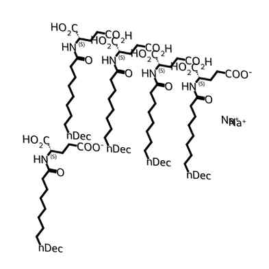 CCCCCCCCCCCCCCCCCC(=O)N[C@@H](CCC(=O)O)C(=O)O.CCCCCCCCCCCCCCCCCC(=O)N[C@@H](CCC(=O)O)C(=O)O.CCCCCCCCCCCCCCCCCC(=O)N[C@@H](CCC(=O)O)C(=O)O.CCCCCCCCCCCCCCCCCC(=O)N[C@@H](CCC(=O)[O-])C(=O)O.CCCCCCCCCCCCCCCCCC(=O)N[C@@H](CCC(=O)[O-])C(=O)O.[Na+].[Na+]